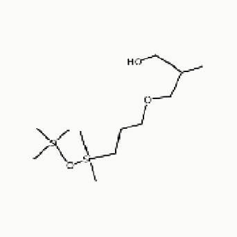 CC(CO)COCCC[Si](C)(C)O[Si](C)(C)C